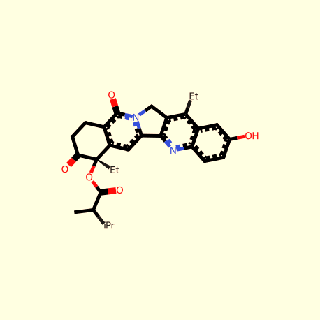 CCc1c2c(nc3ccc(O)cc13)-c1cc3c(c(=O)n1C2)CCC(=O)[C@@]3(CC)OC(=O)C(C)C(C)C